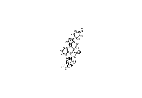 CC(F)(F)C(=O)N[C@H]1CC(=O)N(c2ccc3c(-c4ccc(F)cc4)ncn3c2)[C@@H]1c1ccccc1